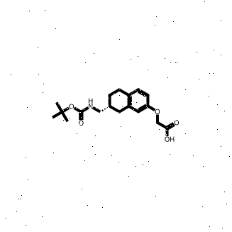 CC(C)(C)OC(=O)NC[C@@H]1CCc2ccc(OCC(=O)O)cc2C1